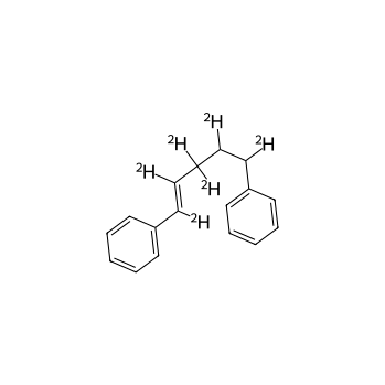 [2H]C(=C([2H])C([2H])([2H])C([2H])C([2H])c1ccccc1)c1ccccc1